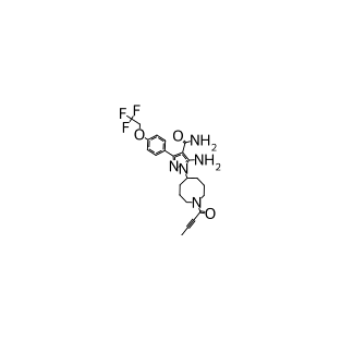 CC#CC(=O)N1CCCC(n2nc(-c3ccc(OCC(F)(F)F)cc3)c(C(N)=O)c2N)CCC1